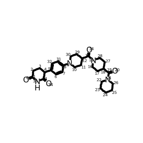 O=C1CCC(c2ccc(N3CCC(C(=O)N4CCC(C(=O)N5CCCCC5)CC4)CC3)cc2)C(=O)N1